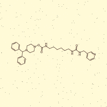 O=C(NCCCCCCNC(=O)ON1CCN(C(c2ccccc2)c2ccccc2)CC1)NCc1cccnc1